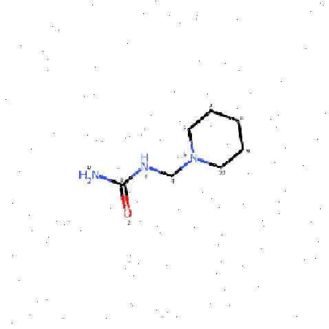 NC(=O)NCN1CCCCC1